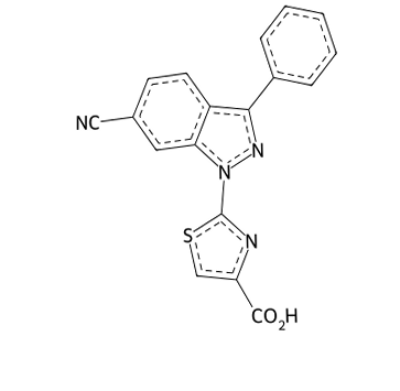 N#Cc1ccc2c(-c3ccccc3)nn(-c3nc(C(=O)O)cs3)c2c1